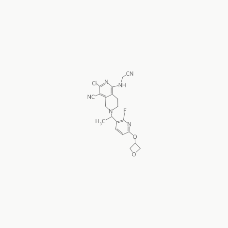 CC(c1ccc(OC2COC2)nc1F)N1CCc2c(NCC#N)nc(Cl)c(C#N)c2C1